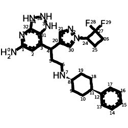 Nc1cc(C(CCN[C@H]2CC[C@H](c3ccccc3)CC2)c2cnn(C3CCC3(F)F)c2)c2c(n1)NNN2